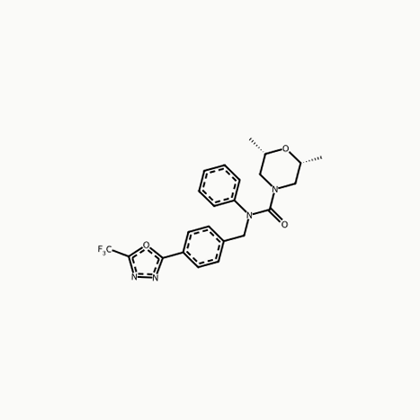 C[C@@H]1CN(C(=O)N(Cc2ccc(-c3nnc(C(F)(F)F)o3)cc2)c2ccccc2)C[C@H](C)O1